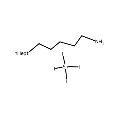 CCCCCCCCCCCCN.[I][Sn]([I])([I])[I]